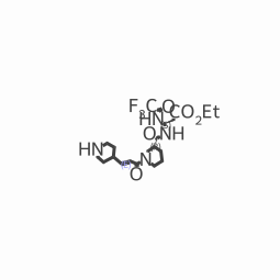 CCOC(=O)C[C@@H](NC(=O)[C@@H]1CCCN(C(=O)/C=C/C2CCNCC2)C1)NC(=O)C(F)(F)F